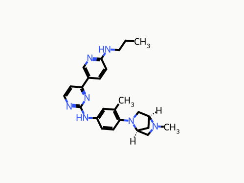 CCCNc1ccc(-c2ccnc(Nc3ccc(N4C[C@@H]5C[C@H]4CN5C)c(C)c3)n2)cn1